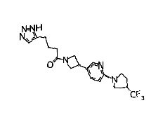 O=C(CCCc1cnn[nH]1)N1CC(c2ccc(N3CCC(C(F)(F)F)C3)nc2)C1